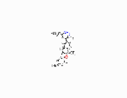 CC(CC(N)C(=O)O)c1ccc2c(C(F)(F)F)c(OC3CCC(C(C)(C)C)CC3)ccc2c1